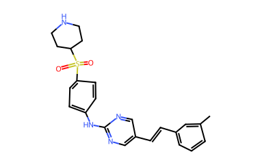 Cc1cccc(/C=C/c2cnc(Nc3ccc(S(=O)(=O)C4CCNCC4)cc3)nc2)c1